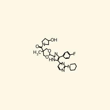 CC1(C(=O)N2CCC(O)C2)COC(c2nc(-c3ccc(F)cc3)c(-c3ccnc(N4CCCCC4)n3)[nH]2)OC1